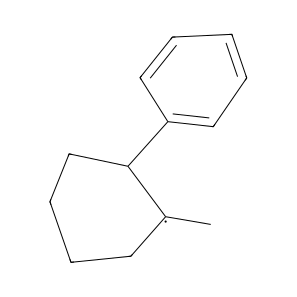 C[C]1CCCCC1c1ccccc1